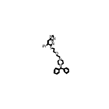 CC(C)c1cc2ncnn2nc1SCCOCCN1CCN(C(c2ccccc2)c2ccccc2)CC1